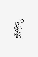 CC(C)(Oc1ccc(C(=O)NS(=O)(=O)C(C)(C)C)cc1C(F)(F)F)c1ccc(Oc2ncccn2)cn1